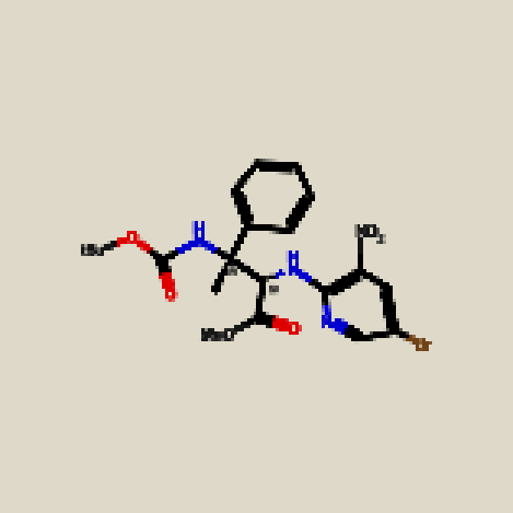 COC(=O)[C@@H](Nc1ncc(Br)cc1[N+](=O)[O-])[C@](C)(NC(=O)OC(C)(C)C)c1ccccc1